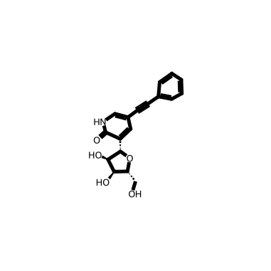 O=c1[nH]cc(C#Cc2ccccc2)cc1[C@@H]1O[C@H](CO)[C@@H](O)[C@H]1O